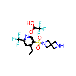 CCc1cc(C(F)(F)F)ncc1S(=O)(=O)N1CC2(CNC2)C1.O=C(O)C(F)(F)F